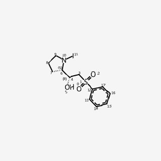 O=S(=O)(C[C@H](O)[C@@H]1CCCN1I)c1ccccc1